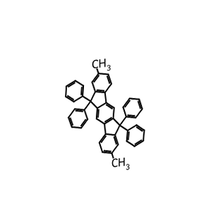 Cc1ccc2c(c1)C(c1ccccc1)(c1ccccc1)c1cc3c(cc1-2)C(c1ccccc1)(c1ccccc1)c1cc(C)ccc1-3